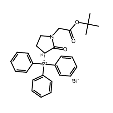 CC(C)(C)OC(=O)CN1CC[C@@H]([P+](c2ccccc2)(c2ccccc2)c2ccccc2)C1=O.[Br-]